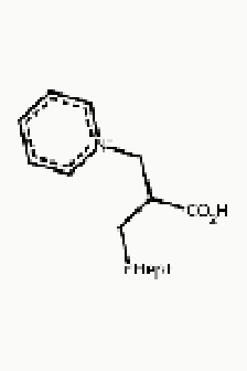 CCCCCCCCC(C[n+]1ccccc1)C(=O)O